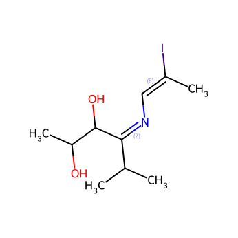 C/C(I)=C\N=C(\C(C)C)C(O)C(C)O